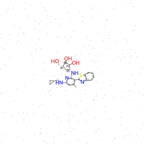 Cc1cc(NCC2CC2)nc(N[C@@H]2C[C@H](CO)[C@@H](O)[C@H]2O)c1-c1nc2ccccc2s1